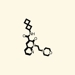 O=C(NC1CC2(CCC2)C1)c1cc2cccnc2n(CCN2CCOCC2)c1=O